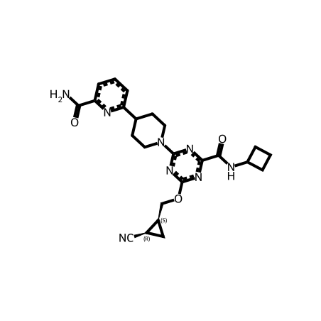 N#C[C@@H]1C[C@@H]1COc1nc(C(=O)NC2CCC2)nc(N2CCC(c3cccc(C(N)=O)n3)CC2)n1